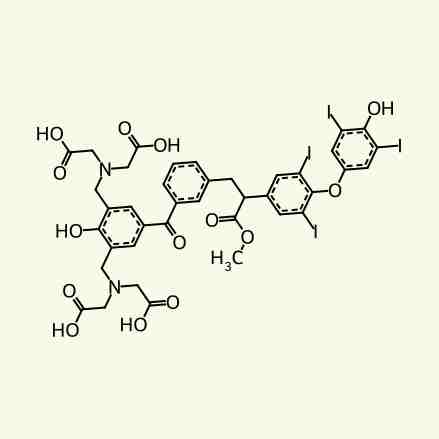 COC(=O)C(Cc1cccc(C(=O)c2cc(CN(CC(=O)O)CC(=O)O)c(O)c(CN(CC(=O)O)CC(=O)O)c2)c1)c1cc(I)c(Oc2cc(I)c(O)c(I)c2)c(I)c1